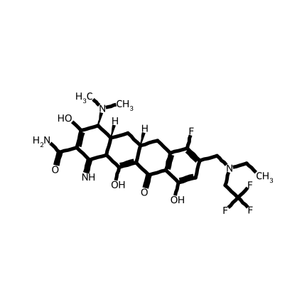 CCN(Cc1cc(O)c2c(c1F)C[C@H]1C[C@@H]3C(C(=N)C(C(N)=O)=C(O)[C@H]3N(C)C)C(O)=C1C2=O)CC(F)(F)F